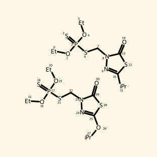 CCOP(=S)(OCC)SCn1nc(C(C)C)sc1=O.CCOP(=S)(OCC)SCn1nc(OC(C)C)sc1=O